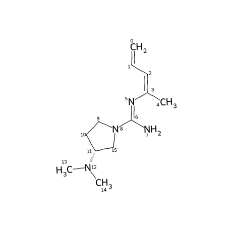 C=C/C=C(C)\N=C(/N)N1CC[C@@H](N(C)C)C1